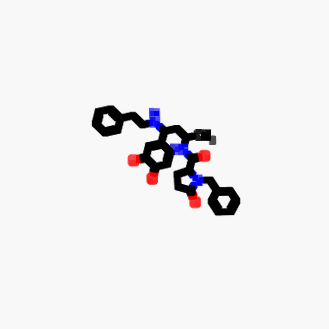 CC(CC(NCCc1ccccc1)C1=CC(=O)C(=O)C=C1)NC(=O)C1CCC(=O)N1Cc1ccccc1